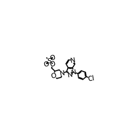 CS(=O)(=O)OCC1CN(c2nn(-c3ccc(Cl)cc3)c3cnccc23)CCO1